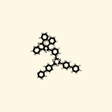 c1ccc(-c2ccc(-c3nc(-c4ccc(-c5ccccc5)cc4)nc(-c4cccc(-c5sc6c(c(-c7ccccc7)nc7ccccc76)c5-c5ccccc5)c4)n3)cc2)cc1